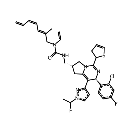 C=C/C=C\C=C(/C)CN(C=C)C(=O)NC[C@H]1CC2=C(c3ccn(C(C)F)n3)[C@H](c3ccc(F)cc3Cl)N=C(C3CC=CS3)N2C1